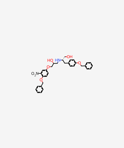 O=[N+]([O-])c1cc(OC[C@@H](O)CN[C@H](CO)Cc2ccc(OCc3ccccc3)cc2)ccc1OCc1ccccc1